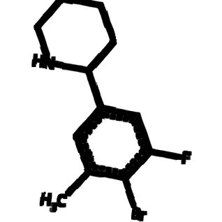 Cc1cc(C2CCCCN2)cc(F)c1Br